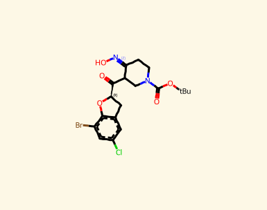 CC(C)(C)OC(=O)N1CC/C(=N/O)C(C(=O)[C@H]2Cc3cc(Cl)cc(Br)c3O2)C1